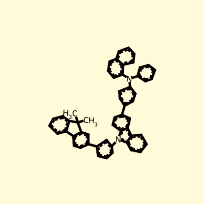 CC1(C)c2ccccc2-c2ccc(-c3cccc(-n4c5ccccc5c5cc(-c6ccc(N(c7ccccc7)c7cccc8ccccc78)cc6)ccc54)c3)cc21